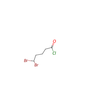 O=C(Cl)CCCC(Br)Br